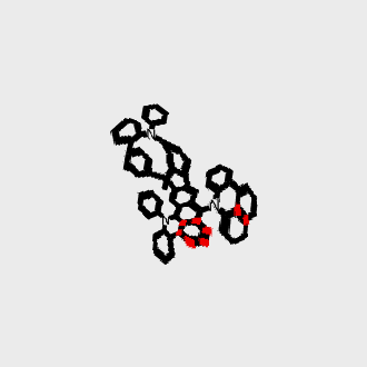 CC12c3ccc(cc3)-c3ccccc3N(c3ccccc3)c3ccc(c1c3)-c1cc3c(N(c4ccccc4)c4ccccc4-c4ccccc4)c4ccccc4c(N(c4ccccc4)c4ccccc4-c4ccccc4)c3cc12